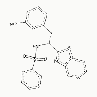 N#Cc1cccc(CC(NS(=O)(=O)c2ccccc2)c2nc3cnccc3s2)c1